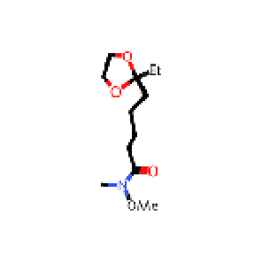 CCC1(CCCCC(=O)N(C)OC)OCCO1